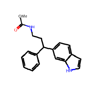 COC(=O)NCCC(c1ccccc1)c1ccc2cc[nH]c2c1